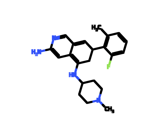 Cc1cccc(F)c1C1C=c2cnc(N)cc2=C(NC2CCN(C)CC2)C1